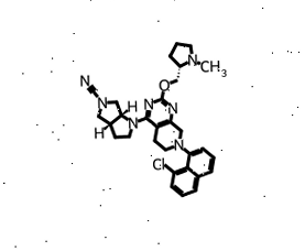 CN1CCC[C@H]1COc1nc2c(c(N3CC[C@@H]4CN(C#N)C[C@@H]43)n1)CCN(c1cccc3cccc(Cl)c13)C2